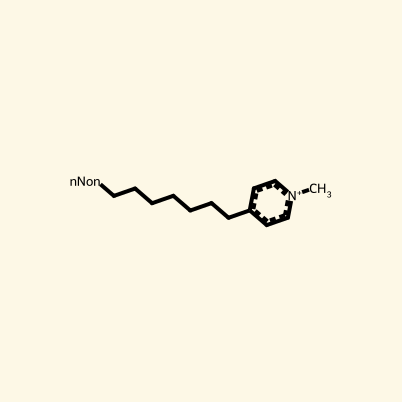 CCCCCCCCCCCCCCCCc1cc[n+](C)cc1